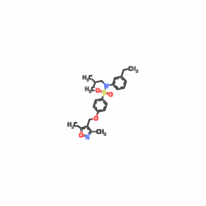 CCc1cccc(N(CC(C)C)S(=O)(=O)c2ccc(OCc3c(C)noc3C)cc2)c1